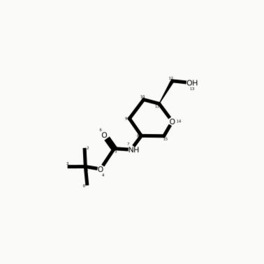 CC(C)(C)OC(=O)NC1CC[C@@H](CO)OC1